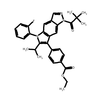 CCOC(=O)c1ccc(-c2c(C(C)C)n(-c3ccccc3F)c3cc4cnn(C(=O)C(C)(C)C)c4cc23)cc1